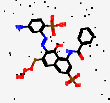 Nc1ccc(S(=O)(=O)O)c(N=Nc2c(SOOO)cc3cc(S(=O)(=O)O)cc(NC(=O)c4ccccc4)c3c2O)c1